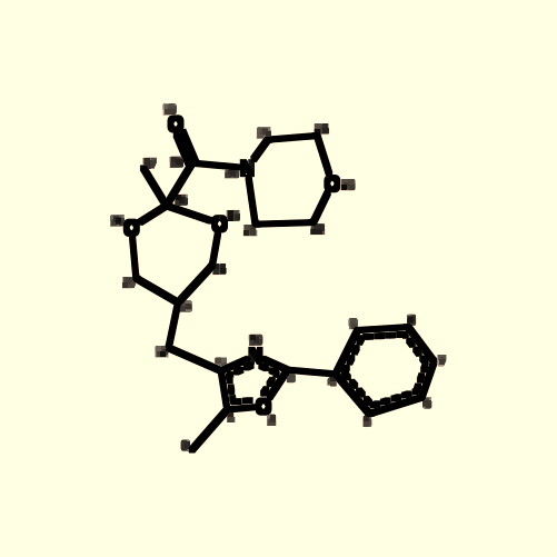 Cc1oc(-c2ccccc2)nc1CC1COC(C)(C(=O)N2CCOCC2)OC1